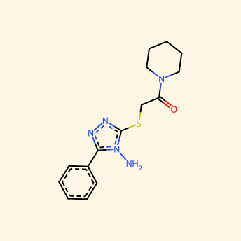 Nn1c(SCC(=O)N2CCCCC2)nnc1-c1ccccc1